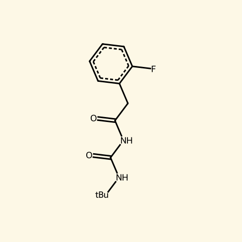 CC(C)(C)NC(=O)NC(=O)Cc1ccccc1F